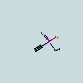 C#CP(O)(=[Se])[SeH]